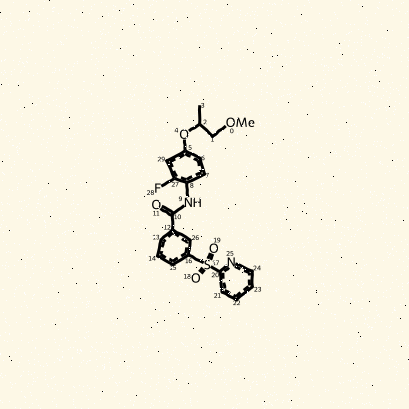 COCC(C)Oc1ccc(NC(=O)c2cccc(S(=O)(=O)c3ccccn3)c2)c(F)c1